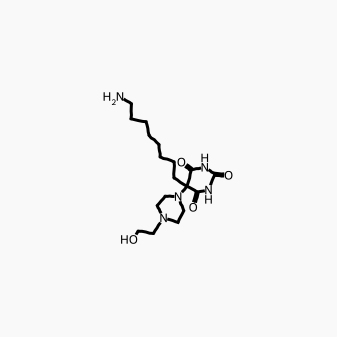 NCCCCCCCCC1(N2CCN(CCO)CC2)C(=O)NC(=O)NC1=O